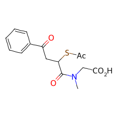 CC(=O)SC(CC(=O)c1ccccc1)C(=O)N(C)CC(=O)O